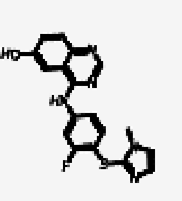 Cn1ccnc1Sc1ccc(Nc2ncnc3ccc(O)cc23)cc1F